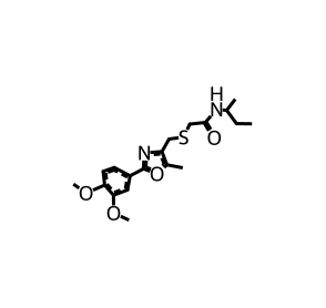 CCC(C)NC(=O)CSCc1nc(-c2ccc(OC)c(OC)c2)oc1C